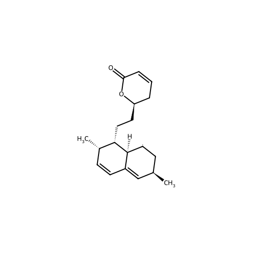 C[C@H]1C=C2C=C[C@H](C)[C@H](CC[C@@H]3CC=CC(=O)O3)[C@H]2[CH]C1